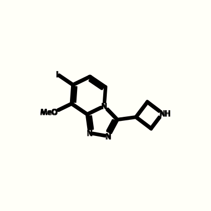 COc1c(I)ccn2c(C3CNC3)nnc12